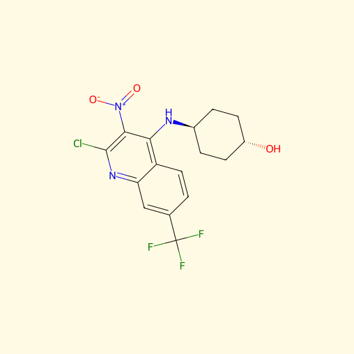 O=[N+]([O-])c1c(Cl)nc2cc(C(F)(F)F)ccc2c1N[C@H]1CC[C@H](O)CC1